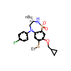 CCCC[C@H]1CN(c2ccc(F)cc2)c2cc(SCC)c(OCC3CC3)cc2S(=O)(=O)N1